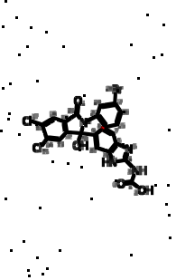 O=C(O)Nc1nc2ccc(C3(O)c4cc(Cl)c(Cl)cc4C(=O)N3c3cccc(Br)c3)cc2[nH]1